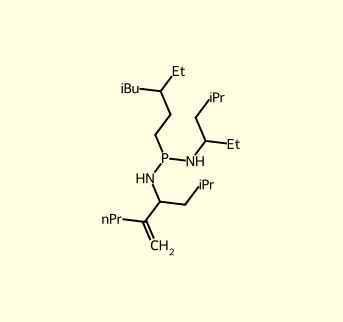 C=C(CCC)C(CC(C)C)NP(CCC(CC)C(C)CC)NC(CC)CC(C)C